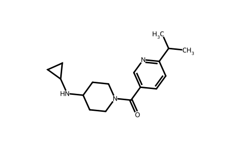 CC(C)c1ccc(C(=O)N2CCC(NC3CC3)CC2)cn1